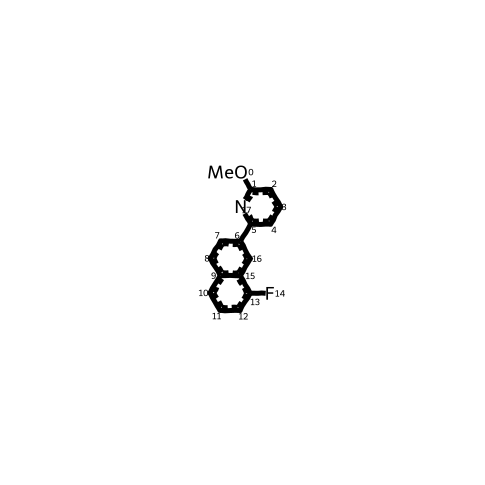 COc1cccc(-c2ccc3cccc(F)c3c2)n1